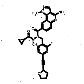 CN(C(=O)C1CC1)N(Cc1ccc(C#CC2CCCO2)cc1F)C(=O)c1ccc2nc(N)c3cnn(C)c3c2c1